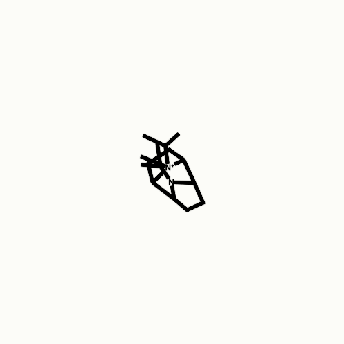 CC(C)N1C2CCC1C1CCC2[N+]1(C)C(C)C